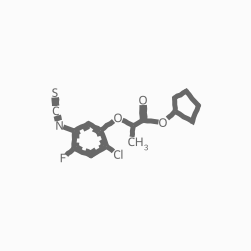 CC(Oc1cc(N=C=S)c(F)cc1Cl)C(=O)OC1CCCC1